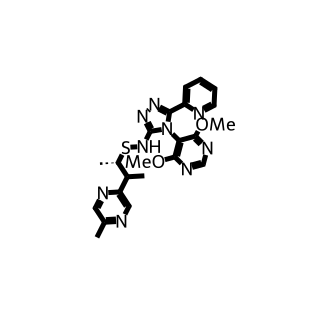 COc1ncnc(OC)c1-n1c(NS[C@@H](C)C(C)c2cnc(C)cn2)nnc1-c1ccccn1